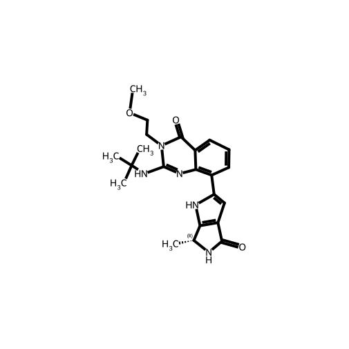 COCCn1c(NC(C)(C)C)nc2c(-c3cc4c([nH]3)[C@@H](C)NC4=O)cccc2c1=O